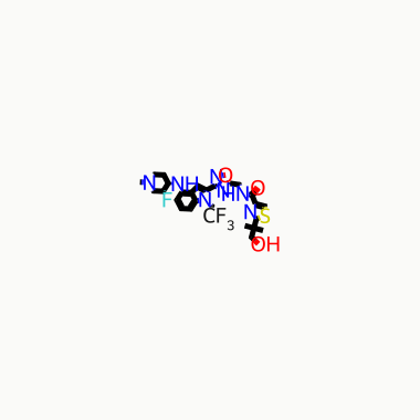 CN1CC[C@@H](Nc2cccc3c2cc(-c2noc(CNC(=O)c4csc(C(C)(C)CO)n4)n2)n3CC(F)(F)F)[C@@H](F)C1